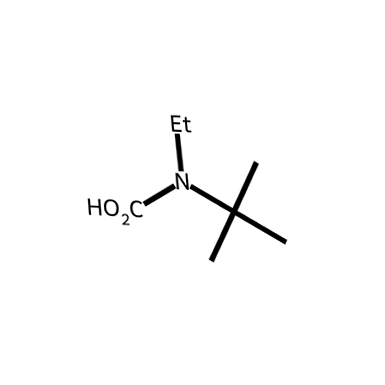 CCN(C(=O)O)C(C)(C)C